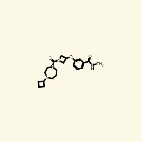 CNC(=O)c1cccc(OC2CN(C(=O)N3CCCN(C4CCC4)CC3)C2)c1